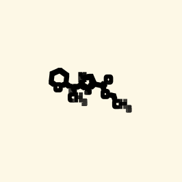 CCOC(=O)c1cnc(N(C)C2CCCCO2)s1